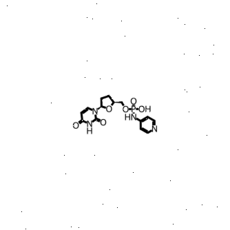 O=c1ccn([C@H]2CC[C@@H](COP(=O)(O)Nc3ccncc3)O2)c(=O)[nH]1